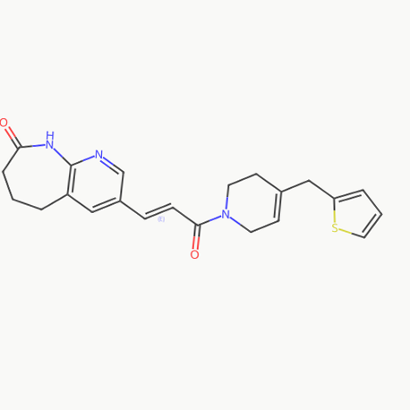 O=C1CCCc2cc(/C=C/C(=O)N3CC=C(Cc4cccs4)CC3)cnc2N1